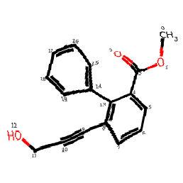 COC(=O)c1cccc(C#CCO)c1-c1ccccc1